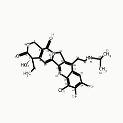 CC[C@@]1(O)C(=O)OCc2c1cc1n(c2=O)Cc2c-1nc1c(Cl)c(F)c(F)cc1c2CCNC(C)C